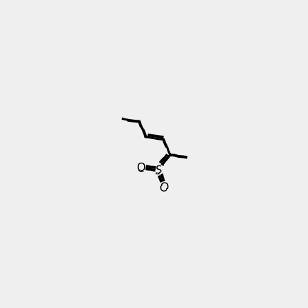 CCC=CC(C)=S(=O)=O